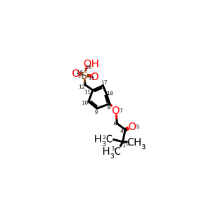 CC(C)(C)C(=O)COc1ccc(CS(=O)(=O)O)cc1